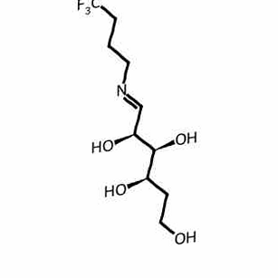 OCC[C@@H](O)[C@H](O)[C@@H](O)C=NCCCC(F)(F)F